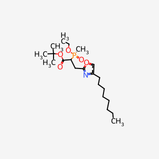 CCCCCCCCc1coc(CC(C(=O)OC(C)(C)C)P(C)(=O)OCC)n1